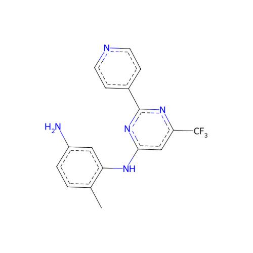 Cc1ccc(N)cc1Nc1cc(C(F)(F)F)nc(-c2ccncc2)n1